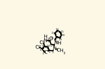 CN(Cc1ccc(Cl)c(Cl)c1)C(CC(N)=O)NCc1ccccc1